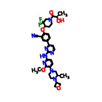 COc1nc(Nc2nccc(-c3ccc(OC4CCN(C(=O)[C@H](C)O)CC4(F)F)c(C#N)c3)n2)ccc1N1CCN(C2COC2)[C@H](C)C1